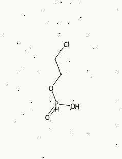 O=[PH](O)OCCCl